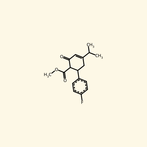 COC(=O)C1C(=O)C=C(C(C)C)CC1c1ccc(F)cc1